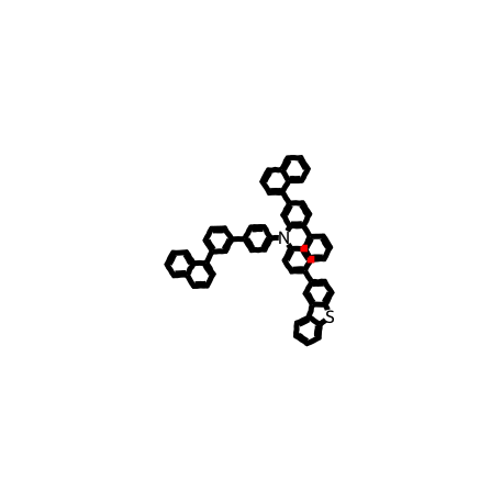 c1ccc(-c2ccc(-c3cccc4ccccc34)cc2N(c2ccc(-c3cccc(-c4cccc5ccccc45)c3)cc2)c2ccc(-c3ccc4sc5ccccc5c4c3)cc2)cc1